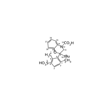 Cc1ccc(S(=O)(=O)O)c(C)c1C1(C(C)(C)C)CN(C(=O)O)c2ccccc2O1